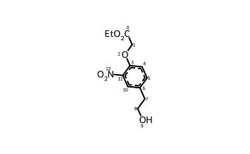 CCOC(=O)COc1ccc(CCO)cc1[N+](=O)[O-]